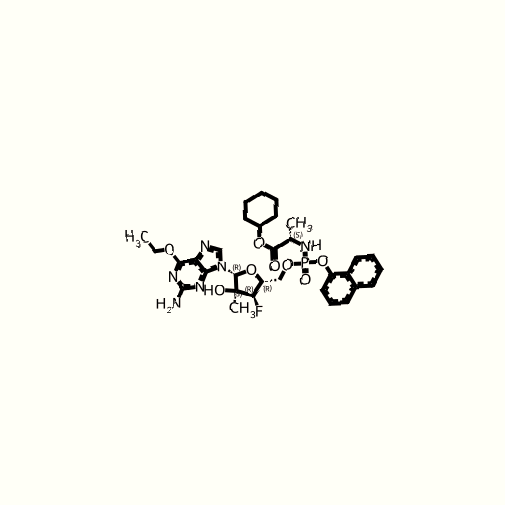 CCOc1nc(N)nc2c1ncn2[C@@H]1O[C@H](COP(=O)(N[C@@H](C)C(=O)OC2CCCCC2)Oc2cccc3ccccc23)[C@@H](F)[C@@]1(C)O